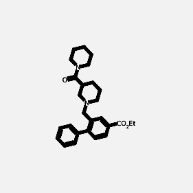 CCOC(=O)c1ccc(-c2ccccc2)c(CN2CCCC(C(=O)N3CCCCC3)C2)c1